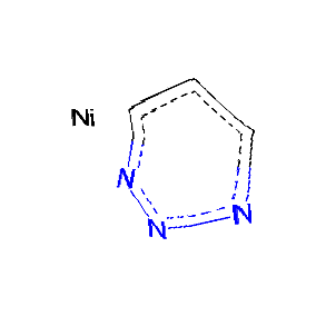 [Ni].c1cnnnc1